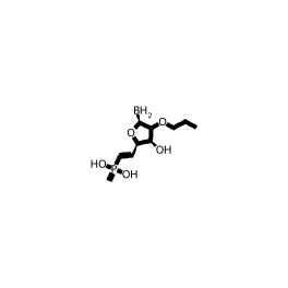 B[C@@H]1O[C@H](/C=C/P(=C)(O)O)[C@H](O)C1OCCC